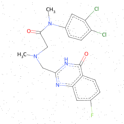 CN(CC(=O)N(C)c1ccc(Cl)c(Cl)c1)Cc1nc2cc(F)ccc2c(=O)[nH]1